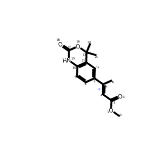 COC(=O)/C=C(\C)c1ccc2c(c1)C(C)(C)OC(=O)N2